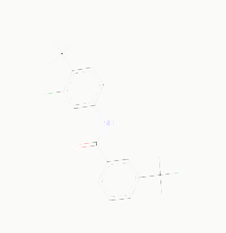 O=C(Nc1ccc(C(F)(F)F)c(Cl)c1)c1cccc(C(F)(F)F)c1